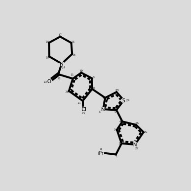 CC(C)Cc1cc(-c2nc(-c3ccc(C(=O)N4CCCCC4)cc3Cl)cs2)ccn1